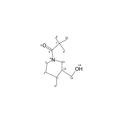 CC1CCN(C(=O)C(C)(C)C)CC1CO